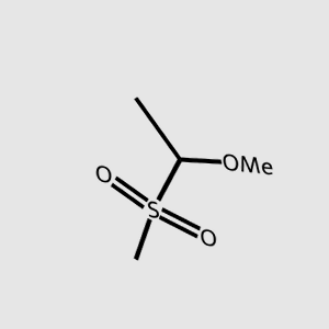 COC(C)S(C)(=O)=O